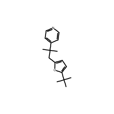 CC(C)(C)c1ccc(CC(C)(C)c2ccncc2)o1